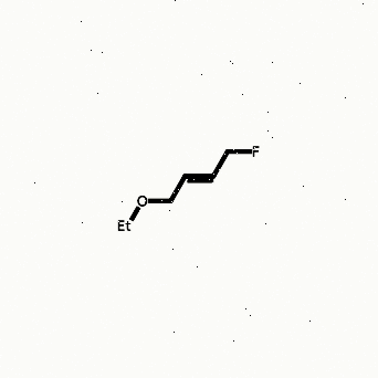 [CH2]COCC=CCF